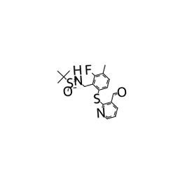 Cc1ccc(Sc2ncccc2C=O)c(CN[S+]([O-])C(C)(C)C)c1F